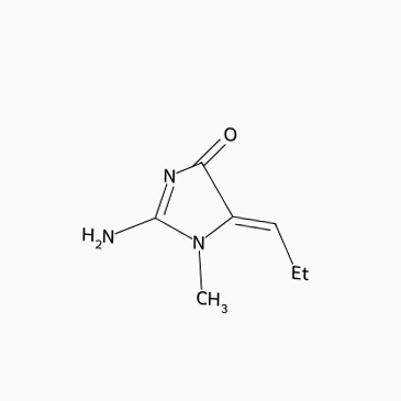 CC/C=C1/C(=O)N=C(N)N1C